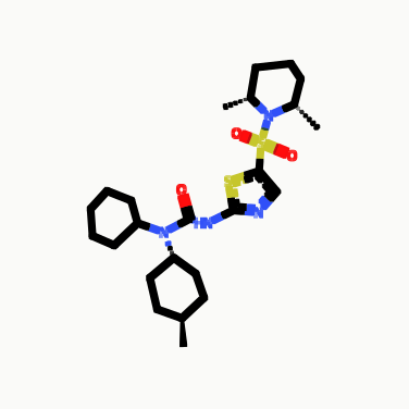 C[C@@H]1CCC[C@H](C)N1S(=O)(=O)c1cnc(NC(=O)N(C2CCCCC2)[C@H]2CC[C@H](C)CC2)s1